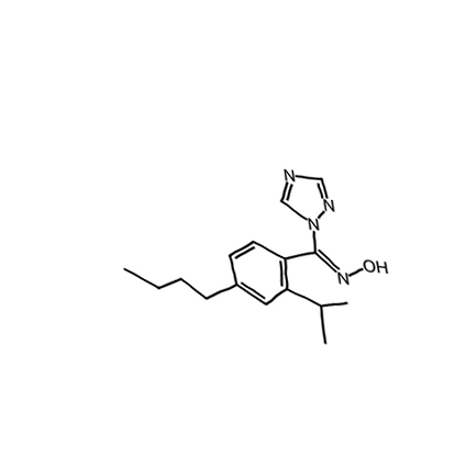 CCCCc1ccc(C(=NO)n2cncn2)c(C(C)C)c1